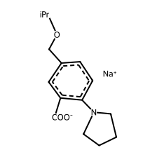 CC(C)OCc1ccc(N2CCCC2)c(C(=O)[O-])c1.[Na+]